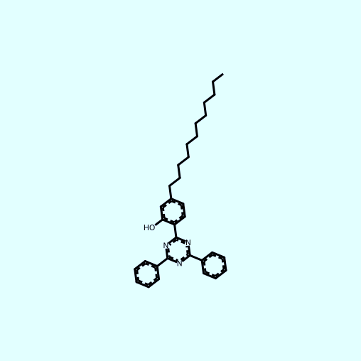 CCCCCCCCCCCCc1ccc(-c2nc(-c3ccccc3)nc(-c3ccccc3)n2)c(O)c1